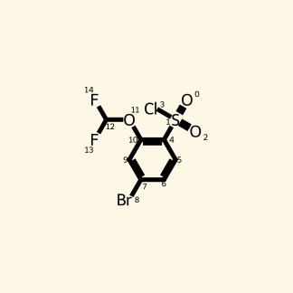 O=S(=O)(Cl)c1ccc(Br)cc1OC(F)F